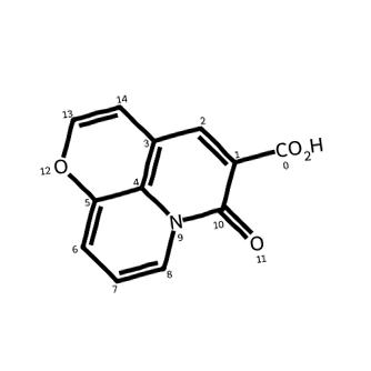 O=C(O)c1cc2c3c(cccn3c1=O)OC=C2